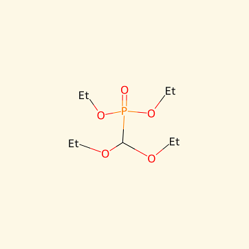 CCOC(OCC)P(=O)(OCC)OCC